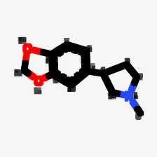 CN1CCC(c2ccc3c(c2)OCO3)C1